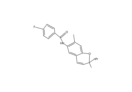 CCCC1(C)C=Cc2cc(NC(=O)c3ccc(F)cc3)c(C)cc2O1